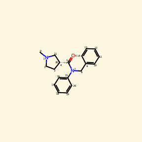 CN1CC[C@@H](C(=O)N(Cc2ccccc2)c2cc[c]cc2)C1